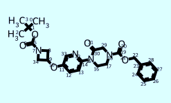 CC(C)(C)OC(=O)N1CC(Oc2ccc(N3CCN(C(=O)OCc4ccccc4)CC3=O)nc2)C1